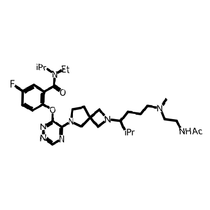 CCN(C(=O)c1cc(F)ccc1Oc1nncnc1N1CCC2(C1)CN(C(CCCN(C)CCNC(C)=O)C(C)C)C2)C(C)C